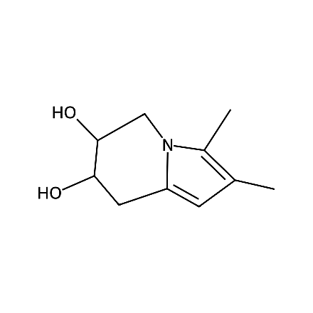 Cc1cc2n(c1C)CC(O)C(O)C2